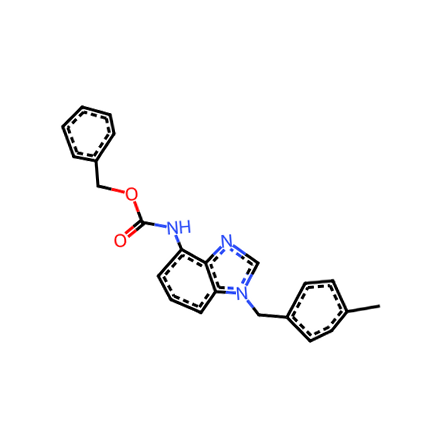 Cc1ccc(Cn2cnc3c(NC(=O)OCc4ccccc4)cccc32)cc1